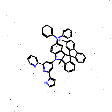 CC(C)(C)c1ccc2c(c1)C1(c3ccccc3-2)c2ccccc2C2(C)C1c1cc(N(C3=CCCC=C3)c3ccccc3)ccc1N2c1cc(-c2ccccn2)nc(-c2ccc[nH]2)c1